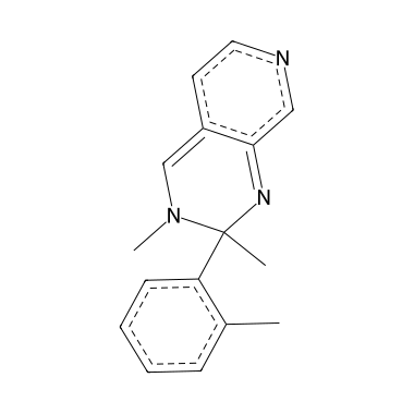 Cc1ccccc1C1(C)N=c2cnccc2=CN1C